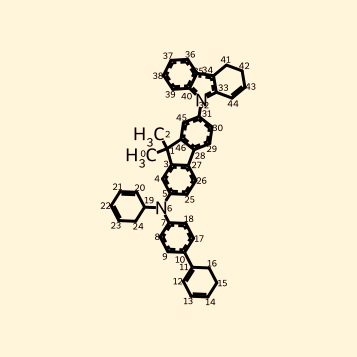 CC1(C)c2cc(N(c3ccc(C4=CC=CCC4)cc3)C3C=CC=CC3)ccc2-c2ccc(-n3c4c(c5ccccc53)CCC=C4)cc21